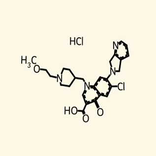 COCCN1CCC(Cn2cc(C(=O)O)c(=O)c3cc(Cl)c(N4Cc5cccnc5C4)cc32)CC1.Cl